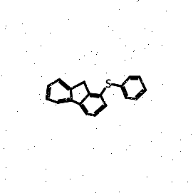 c1ccc(Sc2cccc3c2Cc2ccccc2-3)cc1